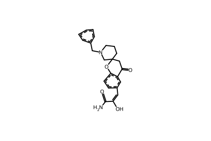 NC(=O)/C(O)=C\c1ccc2c(c1)C(=O)CC1(CCCN(Cc3ccccc3)C1)O2